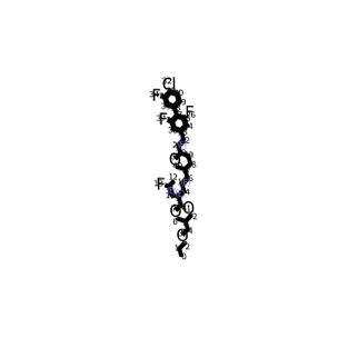 CCCOCC1COC(C(/C=C(\C)F)=C/C=C/C2CCC(/C=C/c3cc(F)c(-c4ccc(Cl)c(F)c4)c(F)c3)OC2)OC1